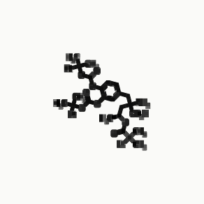 CCC(C)(C)OC(=O)Oc1ccc(CC(N)(C[C@H](C)OC(=O)C(C)(C)CC)C(=O)O)cc1OC(=O)OC(C)(C)CC